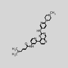 CN(C)CC=CC(=O)Nc1ccnc(-c2ccnc3cnc(Nc4ccc(N5CCN(C)CC5)nc4)nc23)c1